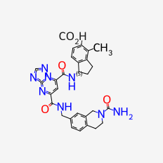 Cc1c(C(=O)O)ccc2c1CC[C@@H]2NC(=O)c1cc(C(=O)NCc2ccc3c(c2)CN(C(N)=O)CC3)nc2ncnn12